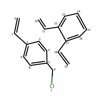 C=Cc1ccc(CCl)cc1.C=Cc1ccccc1C=C